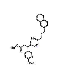 COc1ccc(C(CC(=O)OC(C)(C)C)N/C=C\C(=N)CCCc2ccc3cccnc3n2)cn1